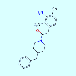 N#Cc1ccc(CC(=O)N2CCC(Cc3ccccc3)CC2)c([N+](=O)[O-])c1N